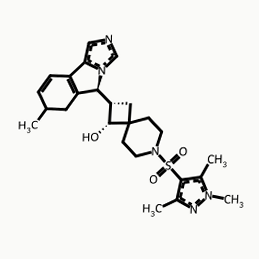 Cc1nn(C)c(C)c1S(=O)(=O)N1CCC2(CC1)C[C@@H]([C@H]1C3=C(C=CC(C)C3)c3cncn31)[C@H]2O